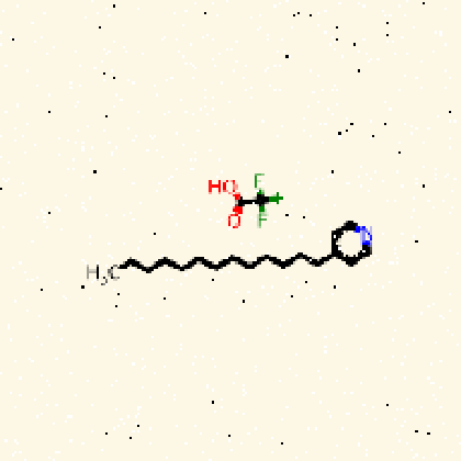 CCCCCCCCCCCCCc1ccncc1.O=C(O)C(F)(F)F